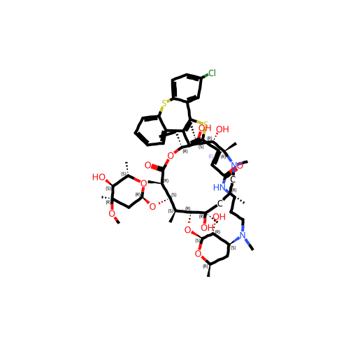 CC[C@H]1OC(=O)[C@H](C)[C@@H](O[C@H]2C[C@@](C)(OC)[C@@H](O)[C@H](C)O2)[C@H](C)[C@@H](O[C@@H]2O[C@H](C)C[C@H](N(C)CCCNC(=O)/C=C/c3cc4c(s3)-c3cc(Cl)ccc3Sc3ccccc3-4)[C@H]2O)[C@](C)(O)C[C@@H](C)CN(C)[C@H](C)[C@@H](O)[C@]1(C)O